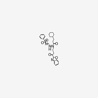 O=C(CCCN(NC=NS(=O)(=O)c1ccccc1)C(=O)CCC1CCCCC1)c1nc2ccccc2o1